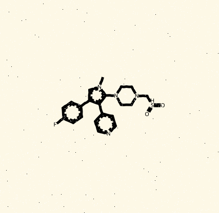 Cn1cc(-c2ccc(F)cc2)c(-c2ccncc2)c1N1CCN(C[SH](=O)=O)CC1